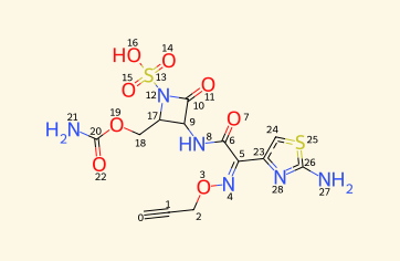 C#CCON=C(C(=O)NC1C(=O)N(S(=O)(=O)O)C1COC(N)=O)c1csc(N)n1